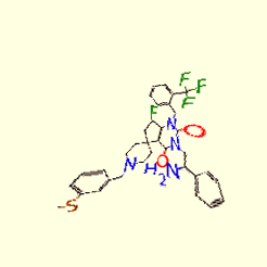 CSc1cccc(CN2CCC3(CCc4c3c(=O)n(C[C@H](N)c3ccccc3)c(=O)n4Cc3c(F)cccc3C(F)(F)F)CC2)c1